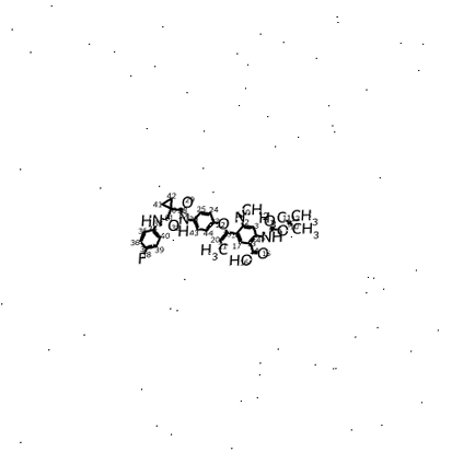 C=Nc1cc(NC(=O)OC(C)(C)C)c(C(=O)O)cc1/C(=C\C)Oc1ccc(NC(=O)C2(C(=O)Nc3ccc(F)cc3)CC2)cc1